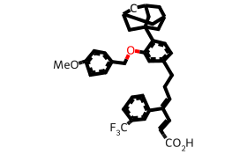 COc1ccc(COc2cc(CC/C=C(/C=CC(=O)O)c3cccc(C(F)(F)F)c3)ccc2C23CC4CC(CC(C4)C2)C3)cc1